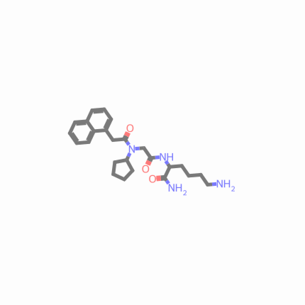 NCCCCC(NC(=O)CN(C(=O)Cc1cccc2ccccc12)C1CCCC1)C(N)=O